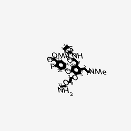 CNCCc1cc(OCCOCCN)c(Oc2ccc(C(=O)OC)c(F)c2)cc1CC(=O)Nc1nccs1